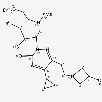 CCOC(=O)CCN(CC(C(S)CC(C)C)n1nc(CCN2CC(OC)C2)c(C2CC2)cc1=O)SC